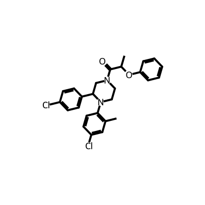 Cc1cc(Cl)ccc1N1CCN(C(=O)C(C)Oc2ccccc2)CC1c1ccc(Cl)cc1